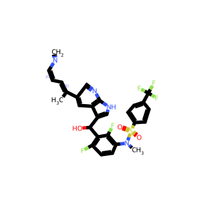 C=N/C=C\C=C(/C)c1cnc2[nH]cc(C(O)c3c(F)ccc(N(C)S(=O)(=O)c4ccc(C(F)(F)F)cc4)c3F)c2c1